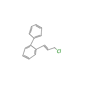 ClCC=Cc1ccccc1-c1ccccc1